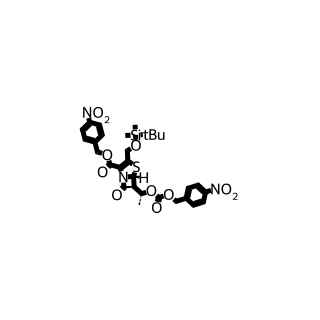 C[C@@H](OC(=O)OCc1ccc([N+](=O)[O-])cc1)[C@H]1C(=O)N2C(C(=O)OCc3ccc([N+](=O)[O-])cc3)=C(CO[Si](C)(C)C(C)(C)C)S[C@H]12